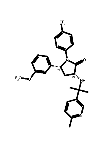 Cc1ccc(C(C)(C)N[C@@H]2C[C@H](c3cccc(OC(F)(F)F)c3)N(c3ccc(C(F)(F)F)cc3)C2=O)cn1